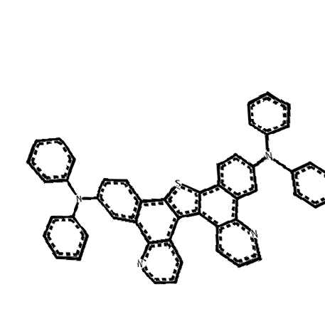 c1ccc(N(c2ccccc2)c2ccc3c(c2)c2ncccc2c2c3sc3c4ccc(N(c5ccccc5)c5ccccc5)cc4c4ncccc4c32)cc1